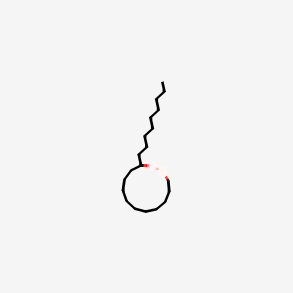 CCCCCCCCCC1CCCCCCCCCCOO1